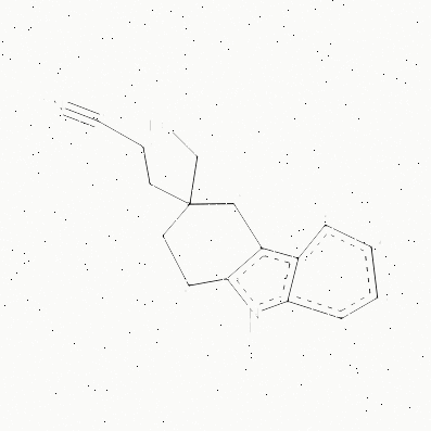 CCC1(CCC#N)CCc2[nH]c3ccccc3c2C1